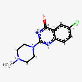 O=C(O)N1CCN(c2nc3ccc(Cl)cc3c(=O)[nH]2)CC1